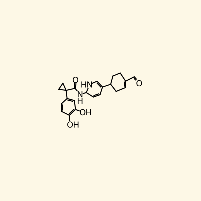 O=CC1=CCC(C2=CNC(NC(=O)C3(c4ccc(O)c(O)c4)CC3)C=C2)CC1